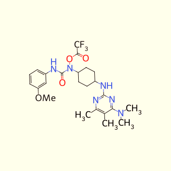 COc1cccc(NC(=O)N(OC(=O)C(F)(F)F)C2CCC(Nc3nc(C)c(C)c(N(C)C)n3)CC2)c1